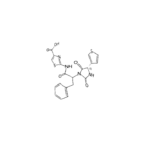 O=C(O)c1csc(NC(=O)C(Cc2ccccc2)N2C(=O)N[C@@H](c3ccsc3)C2=O)n1